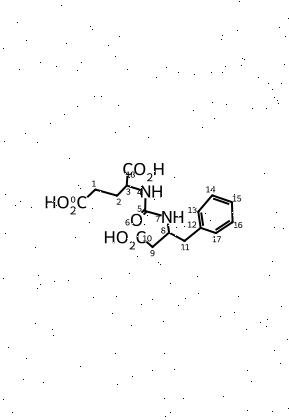 O=C(O)CCC(NC(=O)NC(CC(=O)O)Cc1ccccc1)C(=O)O